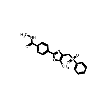 CNC(=O)c1ccc(-c2nc(CS(=O)(=O)c3ccccc3)c(C)o2)cc1